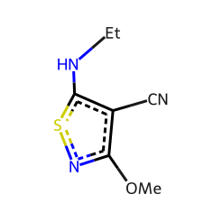 CCNc1snc(OC)c1C#N